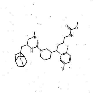 CNCC(CC12CC3CC(CC1C3)C2)NC(=O)N1CCCC(C(OCCNC(=O)OC)c2cc(F)ccc2F)C1